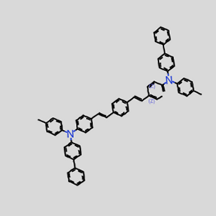 C=C(/C=C\C(C=Cc1ccc(C=Cc2ccc(N(c3ccc(C)cc3)c3ccc(-c4ccccc4)cc3)cc2)cc1)=C/C)N(c1ccc(C)cc1)c1ccc(-c2ccccc2)cc1